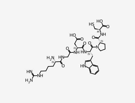 N=C(N)NCCCC[C@H](N)C(=O)NCC(=O)N[C@@H](CC(=O)O)C(=O)N[C@@H](Cc1c[nH]c2ccccc12)C(=O)N1CCC[C@H]1C(=O)N[C@@H](CS)C(=O)O